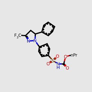 CCCOC(=O)NS(=O)(=O)c1ccc(N2N=C(C(F)(F)F)CC2c2ccccc2)cc1